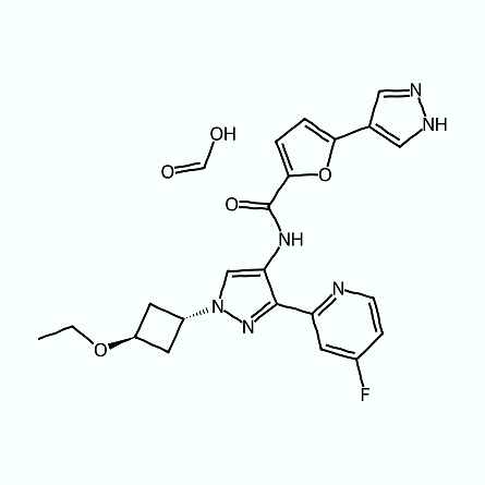 CCO[C@H]1C[C@H](n2cc(NC(=O)c3ccc(-c4cn[nH]c4)o3)c(-c3cc(F)ccn3)n2)C1.O=CO